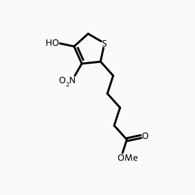 COC(=O)CCCCC1SCC(O)=C1[N+](=O)[O-]